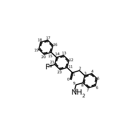 C=C(Cc1ccccc1CN)c1ccc(-c2ccccc2)c(F)c1